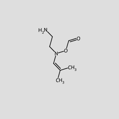 CC(C)=CN(CCN)OC=O